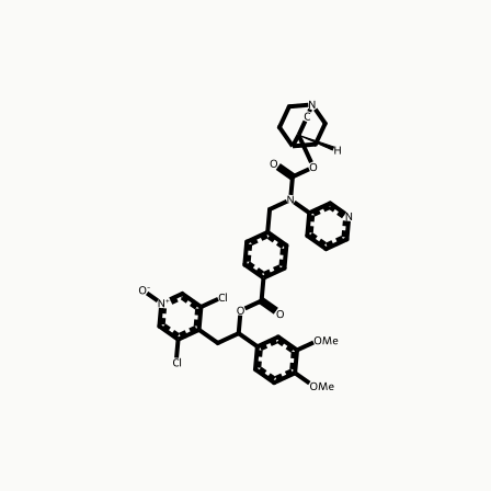 COc1ccc(C(Cc2c(Cl)c[n+]([O-])cc2Cl)OC(=O)c2ccc(CN(C(=O)O[C@H]3CN4CCC3CC4)c3cccnc3)cc2)cc1OC